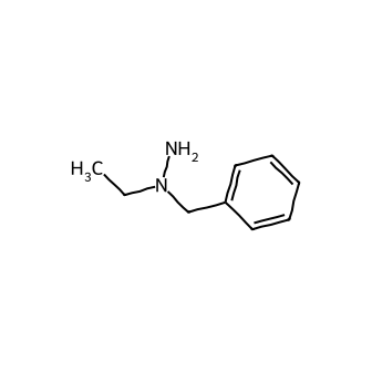 CCN(N)Cc1ccccc1